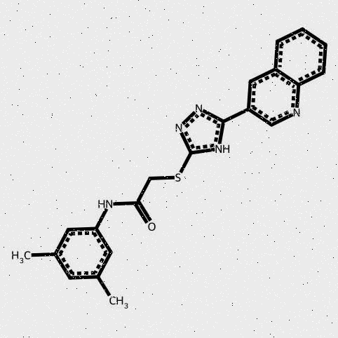 Cc1cc(C)cc(NC(=O)CSc2nnc(-c3cnc4ccccc4c3)[nH]2)c1